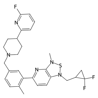 Cc1ccc(CN2CCC(c3cccc(F)n3)CC2)cc1-c1ccc2c(n1)N(C)SN2CC1CC1(F)F